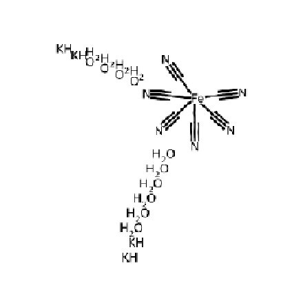 N#[C][Fe]([C]#N)([C]#N)([C]#N)([C]#N)[C]#N.O.O.O.O.O.O.O.O.O.O.[KH].[KH].[KH].[KH]